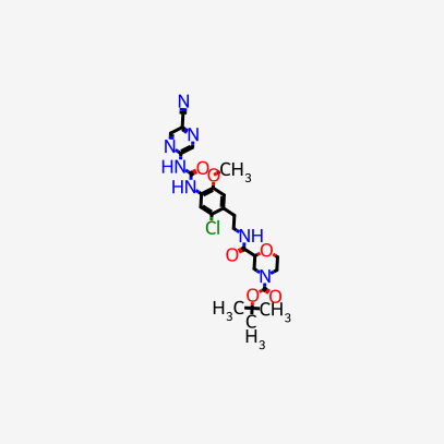 COc1cc(CCNC(=O)C2CN(C(=O)OC(C)(C)C)CCO2)c(Cl)cc1NC(=O)Nc1cnc(C#N)cn1